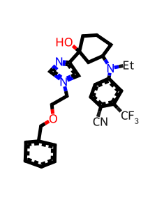 CCN(c1ccc(C#N)c(C(F)(F)F)c1)C1CCCC(O)(c2cn(CCOCc3ccccc3)cn2)C1